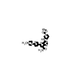 CN1CCN(c2ccc(-c3cc(C(N)=O)c4ncnc(N[C@H]5CCCN(C(=O)OC(C)(C)C)C5)c4n3)cn2)CC1